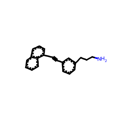 NCCCc1cccc(C#Cc2cccc3ccccc23)c1